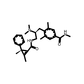 CNC(=O)c1cc(C)c(C[C@@H](CNC(=O)C2=C(C)[C@]2(C)c2ccccc2)N(C)C)c(C)c1